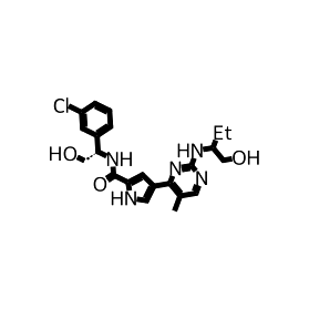 CCC(CO)Nc1ncc(C)c(-c2c[nH]c(C(=O)N[C@H](CO)c3cccc(Cl)c3)c2)n1